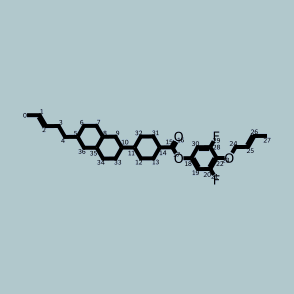 CC=CCCC1CCC2CC(C3CCC(C(=O)Oc4cc(F)c(OCC=CC)c(F)c4)CC3)CCC2C1